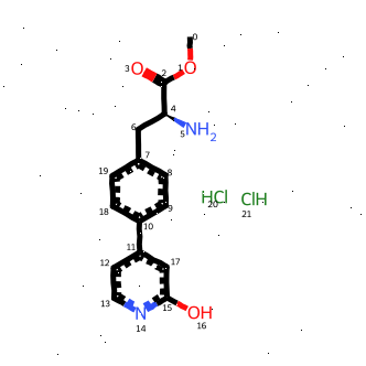 COC(=O)[C@@H](N)Cc1ccc(-c2ccnc(O)c2)cc1.Cl.Cl